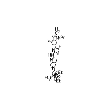 CCOP(=O)(OCC)N(C)CCN1CCc2nc(Nc3ncc(F)c(-c4cc(F)c5nc(C)n(C(C)C)c5c4)n3)ccc2C1